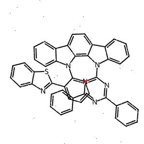 c1ccc(-c2nc(-c3ccccc3)nc(-n3c4ccccc4c4ccc5c6ccccc6n(-c6ccccc6-c6nc7ccccc7s6)c5c43)n2)cc1